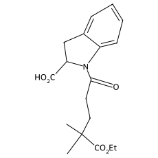 CCOC(=O)C(C)(C)CCC(=O)N1c2ccccc2CC1C(=O)O